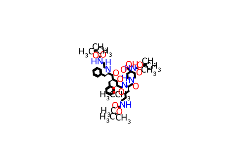 CC(C)C[C@@H](C(=O)N[C@H](CCCCNC(=O)OC(C)(C)C)C(=O)N1CCC(NC(=O)OC(C)(C)C)(C(=O)O)CC1)C(=O)[C@@H](Cc1ccccc1)C(=O)[C@@H](Cc1ccccc1)NCCNC(=O)OC(C)(C)C